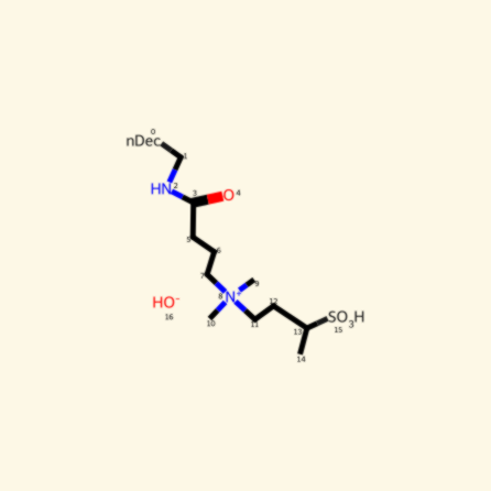 CCCCCCCCCCCNC(=O)CCC[N+](C)(C)CCC(C)S(=O)(=O)O.[OH-]